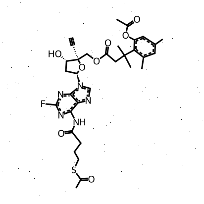 C#C[C@]1(COC(=O)CC(C)(C)c2c(C)cc(C)cc2OC(C)=O)O[C@@H](n2cnc3c(NC(=O)CCCSC(C)=O)nc(F)nc32)C[C@@H]1O